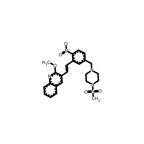 COc1nc2ccccc2cc1/C=C/c1cc(CN2CCN(S(C)(=O)=O)CC2)ccc1[N+](=O)[O-]